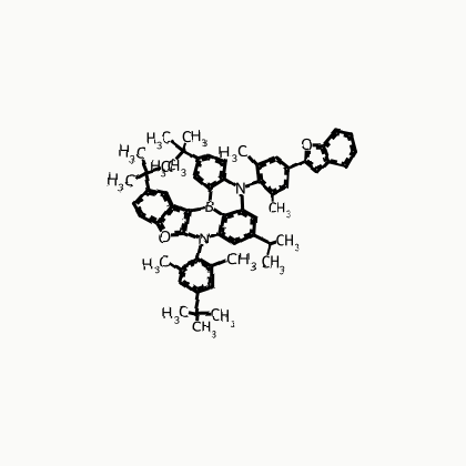 Cc1cc(-c2cc3ccccc3o2)cc(C)c1N1c2ccc(C(C)(C)C)cc2B2c3c1cc(C(C)C)cc3N(c1c(C)cc(C(C)(C)C)cc1C)c1oc3ccc(C(C)(C)C)cc3c12